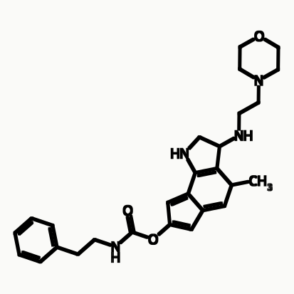 CC1C=C2C=C(OC(=O)NCCc3ccccc3)C=C2C2=C1C(NCCN1CCOCC1)CN2